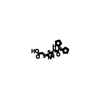 O=C(O)CSc1nnc(NC(=O)N(C2CCCC2)C2CCCC2)s1